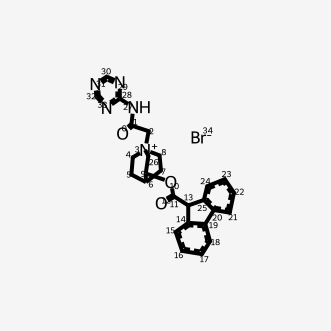 O=C(C[N+]12CCC(CC1)C(OC(=O)C1c3ccccc3-c3ccccc31)C2)Nc1ncncn1.[Br-]